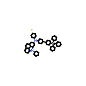 Fc1ccc(N(c2ccc(-c3ccc([Si](c4ccccc4)(c4ccccc4)c4ccccc4)cc3)cc2)c2cc3ccc4cccc5c4c3c(c2)n5-c2ccccc2)cc1